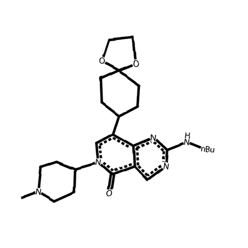 CCCCNc1ncc2c(=O)n(C3CCN(C)CC3)cc(C3CCC4(CC3)OCCO4)c2n1